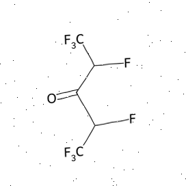 O=C(C(F)C(F)(F)F)C(F)C(F)(F)F